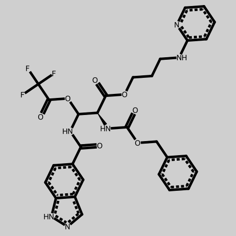 O=C(N[C@H](C(=O)OCCCNc1ccccn1)C(NC(=O)c1ccc2[nH]ncc2c1)OC(=O)C(F)(F)F)OCc1ccccc1